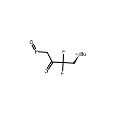 CC[C@H](C)CC(F)(F)C(=O)CP=O